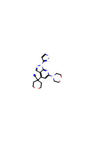 C[C@@H]1COCCN1c1cc(C2(C#N)CCOCC2)c2cnn(-c3cc[nH]n3)c2n1